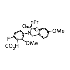 CCCS(=O)(=O)N(Cc1ccc(OC)cc1)c1ccc(F)c(C(=O)O)c1OC